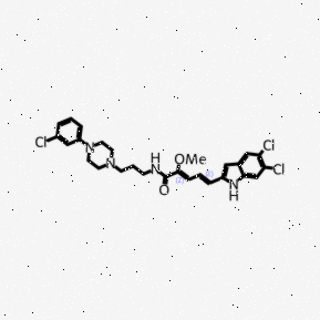 CO/C(=C\C=C\c1cc2cc(Cl)c(Cl)cc2[nH]1)C(=O)NCCCN1CCN(c2cccc(Cl)c2)CC1